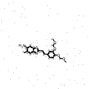 COCOc1ccc(/C=C/c2nc3cc(C)c(N)cc3s2)cc1OCOC